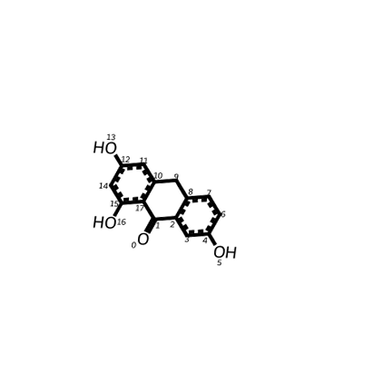 O=C1c2cc(O)ccc2Cc2cc(O)cc(O)c21